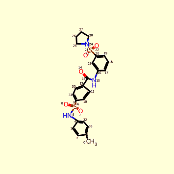 Cc1ccc(NS(=O)(=O)c2ccc(C(=O)Nc3cccc(S(=O)(=O)N4CCCC4)c3)cc2)cc1